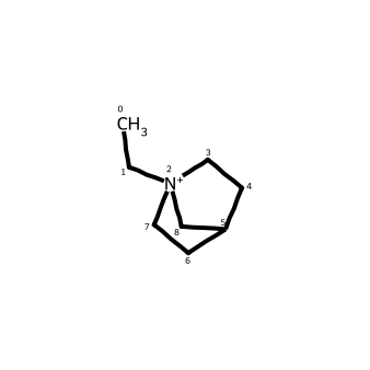 CC[N+]12CCC(CC1)C2